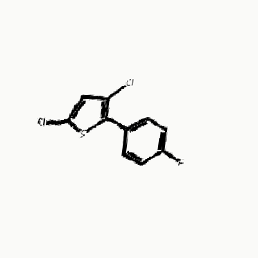 Fc1ccc(-c2sc(Cl)cc2Cl)cc1